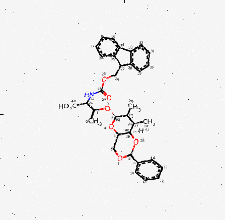 CC(O[C@H]1OC2COC(c3ccccc3)O[C@@H]2[C@H](C)C1C)C(NC(=O)OCC1c2ccccc2-c2ccccc21)C(=O)O